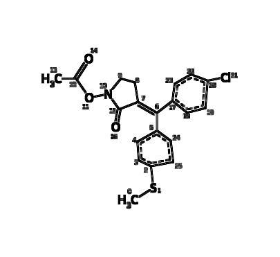 CSc1ccc(/C(=C2/CCN(OC(C)=O)C2=O)c2ccc(Cl)cc2)cc1